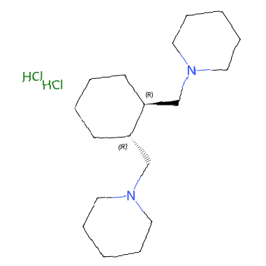 C1CCN(C[C@@H]2CCCC[C@H]2CN2CCCCC2)CC1.Cl.Cl